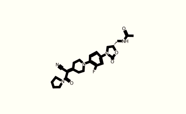 CC(=O)NC[C@H]1CN(c2ccc(N3CCC(=C(C#N)C(=O)N4CCCC4)CC3)c(F)c2)C(=O)O1